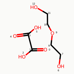 O=C(O)C(=O)O.OCCOCCO